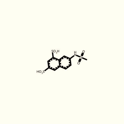 CS(=O)(=O)Nc1ccc2cc(S(=O)(=O)O)cc(S(=O)(=O)O)c2c1